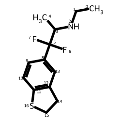 CCNC(C)C(F)(F)c1ccc2c(c1)CCS2